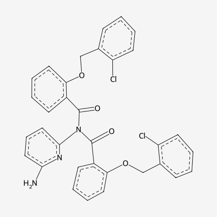 Nc1cccc(N(C(=O)c2ccccc2OCc2ccccc2Cl)C(=O)c2ccccc2OCc2ccccc2Cl)n1